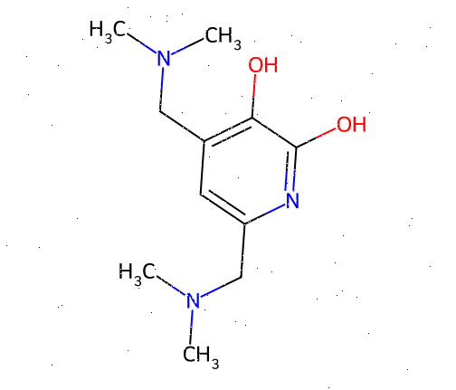 CN(C)Cc1cc(CN(C)C)c(O)c(O)n1